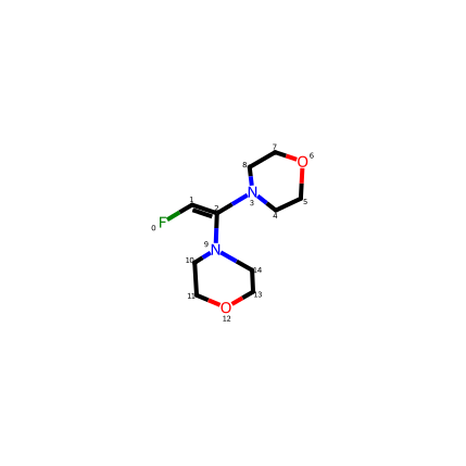 FC=C(N1CCOCC1)N1CCOCC1